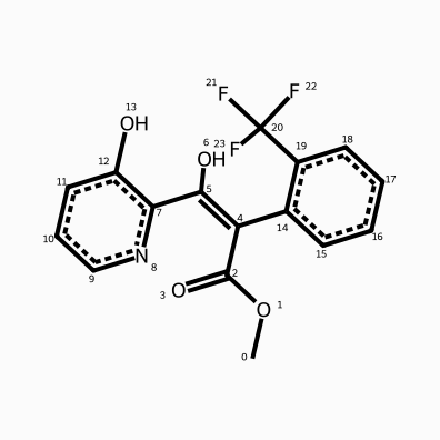 COC(=O)C(=C(O)c1ncccc1O)c1ccccc1C(F)(F)F